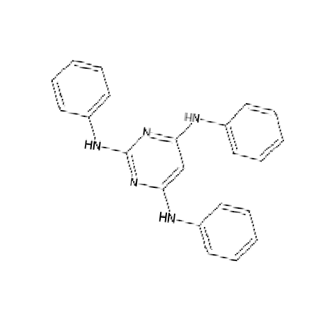 c1ccc(Nc2cc(Nc3ccccc3)nc(Nc3ccccc3)n2)cc1